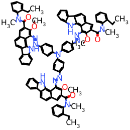 CCc1ccccc1N(C)C(=O)c1cc2ccc3c4ccccc4[nH]c3c2c(N=Nc2ccc(N(c3ccc(N=Nc4c(OC)c(C(=O)N(C)c5ccccc5CC)cc5ccc6c7ccccc7[nH]c6c45)cc3)c3ccc(N=Nc4c(OC)c(C(=O)N(C)c5ccccc5CC)cc5ccc6c7ccccc7[nH]c6c45)cc3)cc2)c1OC